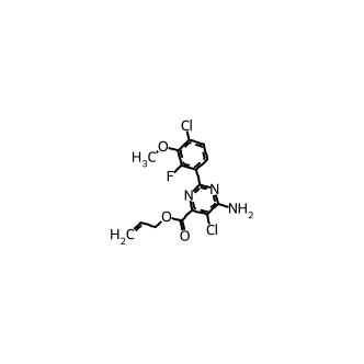 C=CCOC(=O)c1nc(-c2ccc(Cl)c(OC)c2F)nc(N)c1Cl